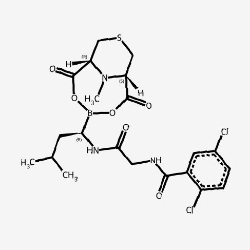 CC(C)C[C@H](NC(=O)CNC(=O)c1cc(Cl)ccc1Cl)B1OC(=O)[C@H]2CSC[C@@H](C(=O)O1)N2C